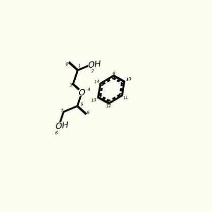 CC(O)COC(C)CO.c1ccccc1